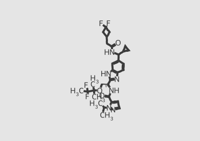 CC(C)n1nccc1C(=O)N[C@@H](COC(C)(C)C(C)(F)F)c1nc2ccc(C(NC(=O)CC3CC(F)(F)C3)C3CC3)cc2[nH]1